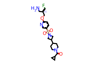 NC/C(=C\F)COc1ccc(S(=O)(=O)N2CC(C3CCN(C(=O)C4CC4)CC3)C2)cn1